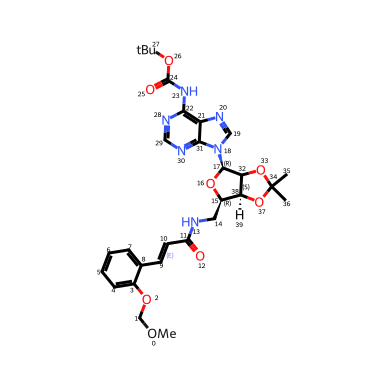 COCOc1ccccc1/C=C/C(=O)NC[C@H]1O[C@@H](n2cnc3c(NC(=O)OC(C)(C)C)ncnc32)C2OC(C)(C)O[C@H]21